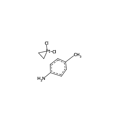 Cc1ccc(N)cc1.[Cl][Pt]1([Cl])[CH2][CH2]1